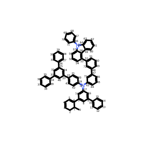 CC1CC=CC=C1c1cc(-c2ccccc2)cc(N(c2ccc(-c3cc(-c4ccccc4)cc(-c4ccccc4)c3)cc2)c2cccc(-c3cccc(-c4cccc5c4c4ccccc4n5-c4ccccc4)c3)c2)c1